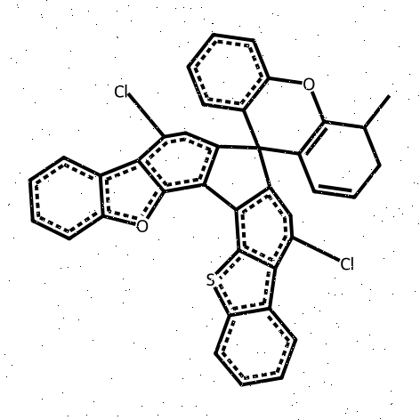 CC1CC=CC2=C1Oc1ccccc1C21c2cc(Cl)c3c(oc4ccccc43)c2-c2c1cc(Cl)c1c2sc2ccccc21